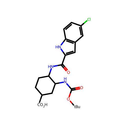 CC(C)(C)OC(=O)NC1CC(C(=O)O)CCC1NC(=O)c1cc2cc(Cl)ccc2[nH]1